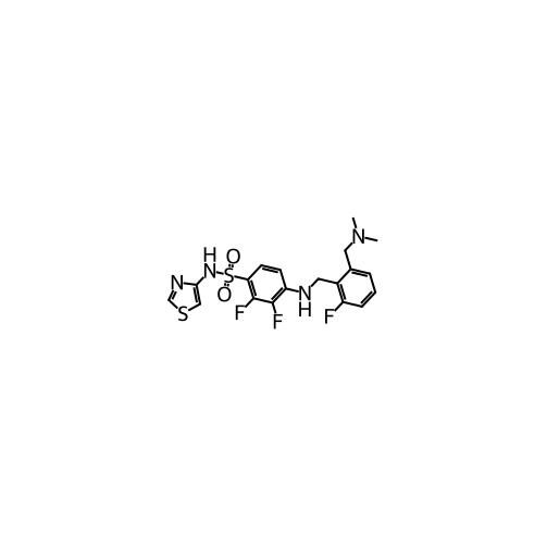 CN(C)Cc1cccc(F)c1CNc1ccc(S(=O)(=O)Nc2cscn2)c(F)c1F